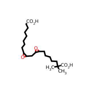 CC(C)(CCCCCC1OC1CC1OC1CCCCCCCC(=O)O)C(=O)O